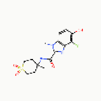 Cn1c(C(=O)NC2(C)CCS(=O)(=O)CC2)nc2c(F)c(O)ccc21